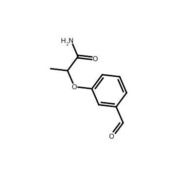 CC(Oc1cccc(C=O)c1)C(N)=O